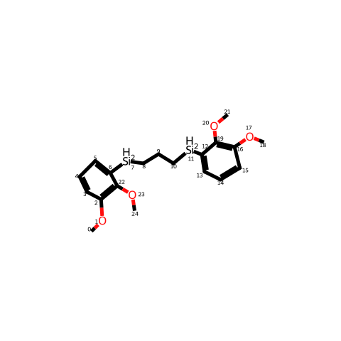 COc1cccc([SiH2]CCC[SiH2]c2cccc(OC)c2OC)c1OC